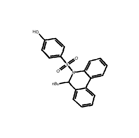 CCCCC1c2ccccc2-c2ccccc2N1S(=O)(=O)c1ccc(O)cc1